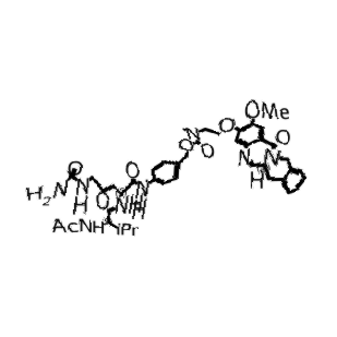 COc1cc2c(cc1OCCN(C)C(=O)OCc1ccc(NC(=O)[C@H](CCCNC(N)=O)NC(=O)[C@@H](NC(C)=O)C(C)C)cc1)N=C[C@@H]1Cc3ccccc3CN1C2=O